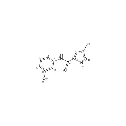 Cc1cc(C(=O)Nc2cccc(O)c2)no1